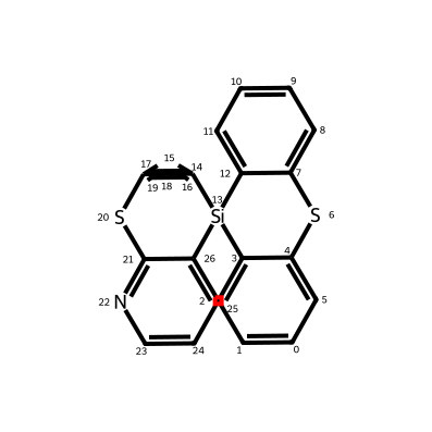 c1ccc2c(c1)Sc1ccccc1[Si]21c2ccccc2Sc2ncccc21